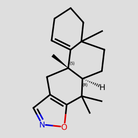 CC12CCCC=C1[C@@]1(C)Cc3cnoc3C(C)(C)[C@@H]1CC2